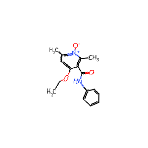 CCOc1cc(C)[n+]([O-])c(C)c1C(=O)Nc1ccccc1